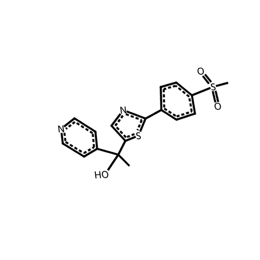 CC(O)(c1ccncc1)c1cnc(-c2ccc(S(C)(=O)=O)cc2)s1